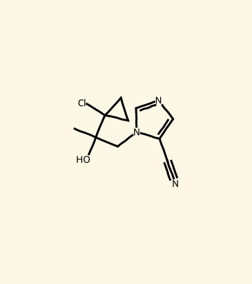 CC(O)(Cn1cncc1C#N)C1(Cl)CC1